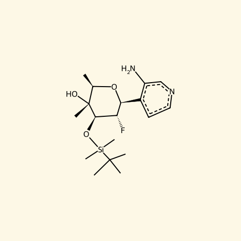 C[C@H]1O[C@@H](c2ccncc2N)[C@H](F)[C@@H](O[Si](C)(C)C(C)(C)C)[C@]1(C)O